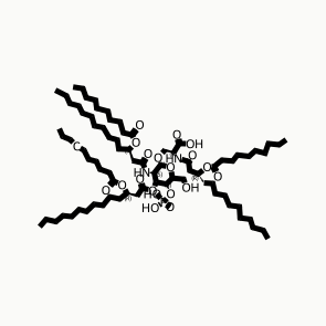 CCCCCCCCCCC[C@H](CC(=O)N[C@@H](CO[C@@H]1OC(CO)[C@H](OP(=O)(O)O)C(OC(=O)C[C@@H](CCCCCCCCCCC)OC(=O)CCCCCCCCC)[C@@H]1NC(=O)C[C@@H](CCCCCCCCCCC)OC(=O)CCCCCCCCC)C(=O)O)OC(=O)CCCCCCCCC